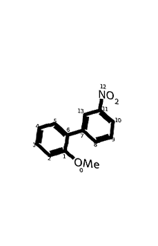 COc1ccccc1-c1[c]ccc([N+](=O)[O-])c1